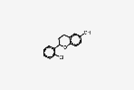 Oc1ccc2c(c1)CCC(c1ccccc1Cl)O2